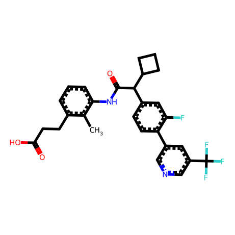 Cc1c(CCC(=O)O)cccc1NC(=O)C(c1ccc(-c2cncc(C(F)(F)F)c2)c(F)c1)C1CCC1